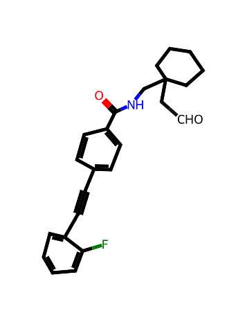 O=CCC1(CNC(=O)c2ccc(C#Cc3ccccc3F)cc2)CCCCC1